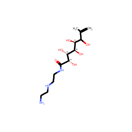 C=C(C)C(O)[C@H](O)[C@@H](O)[C@@H](O)[C@H](O)C(=O)NCCNCCN